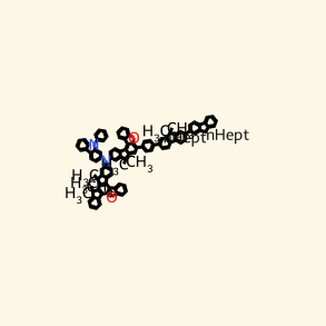 CCCCCCCC1(CCCCCCC)c2ccccc2-c2ccc(-c3ccc4c(c3)C(C)(C)c3cc(-c5ccc(-c6cc7c(c8c6oc6ccccc68)-c6ccc(N(c8ccc9c(c8)C(C)(C)c8c%10c(c%11oc%12ccccc%12c%11c8-9)-c8ccccc8C%10(C)C)c8ccc9c%10ccccc%10n(-c%10ccccc%10)c9c8)cc6C7(C)C)cc5)ccc3-4)cc21